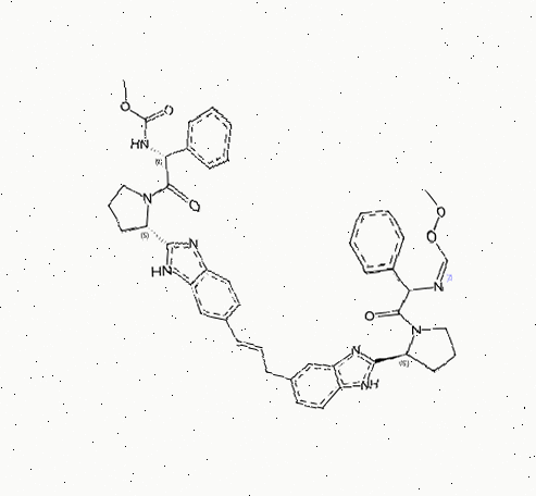 COO/C=N\C(C(=O)N1CCC[C@H]1c1nc2cc(CC=Cc3ccc4nc([C@@H]5CCCN5C(=O)[C@H](NC(=O)OC)c5ccccc5)[nH]c4c3)ccc2[nH]1)c1ccccc1